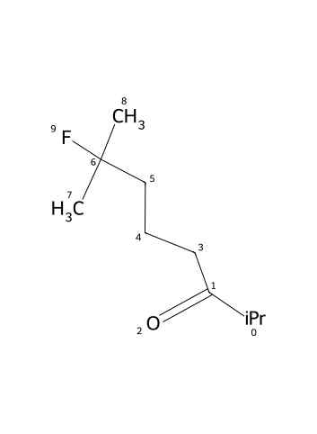 CC(C)C(=O)CCCC(C)(C)F